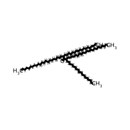 CCCCCCCCCCCCCCCCCCCCCCC(CCCCCCCCCCCCCCCCCC)C(=O)C(CCCCCCCCCCCCCCCCCC)CCCCCCCCCCCCCCCCCCCCCC